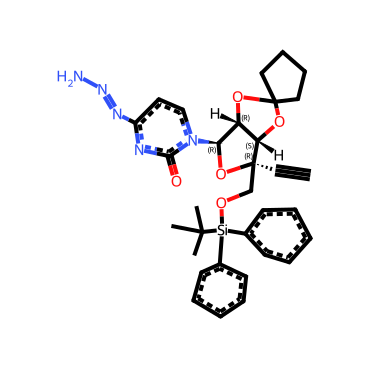 C#C[C@]1(CO[Si](c2ccccc2)(c2ccccc2)C(C)(C)C)O[C@@H](n2ccc(N=NN)nc2=O)[C@@H]2OC3(CCCC3)O[C@@H]21